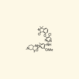 COc1cc(C(=O)NC2CCN(C)CC2F)c(C)cc1Nc1ncc(Cl)c(Oc2cccc3c2C(=O)N(C)C3(C)C)n1